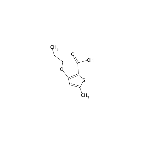 CCCOc1cc(C)sc1C(=O)O